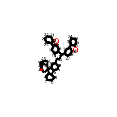 c1ccc2c(c1)-c1ccc(CCC(c3ccc4c(c3)oc3ccccc34)c3ccc4oc5ccccc5c4c3)cc1C21C2CC3CC(C2)CC1C3